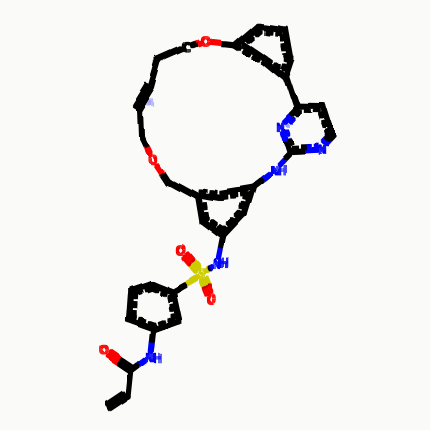 C=CC(=O)Nc1cccc(S(=O)(=O)Nc2cc3cc(c2)Nc2nccc(n2)-c2cccc(c2)OCC/C=C/COC3)c1